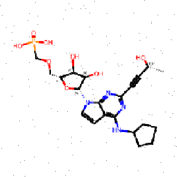 C[C@@H](O)C#Cc1nc(NC2CCCC2)c2ccn([C@@H]3O[C@H](COCP(=O)(O)O)[C@@H](O)[C@H]3O)c2n1